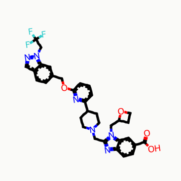 O=C(O)c1ccc2nc(CN3CCC(c4cccc(OCc5ccc6cnn(CC(F)(F)F)c6c5)n4)CC3)n(CC3CCO3)c2c1